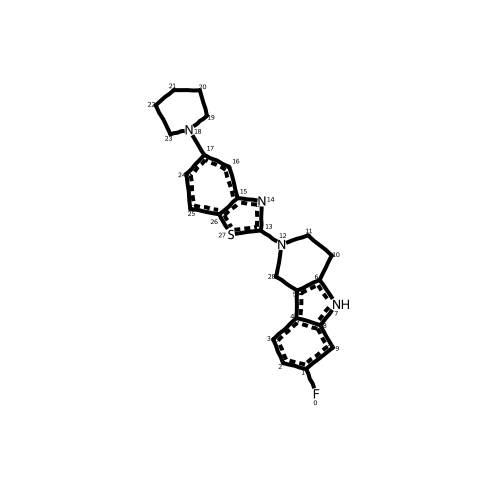 Fc1ccc2c3c([nH]c2c1)CCN(c1nc2cc(N4CCCCC4)ccc2s1)C3